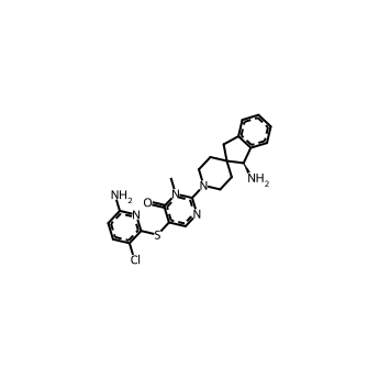 Cn1c(N2CCC3(CC2)Cc2ccccc2[C@H]3N)ncc(Sc2nc(N)ccc2Cl)c1=O